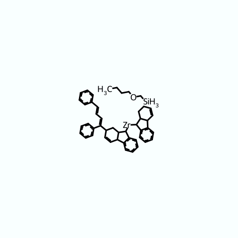 C(=Cc1ccccc1)C=C(c1ccccc1)C1C=CC2c3ccccc3[CH]([Zr][CH]3c4ccccc4C4C=CCCC43)C2C1.CCCCOC[SiH3]